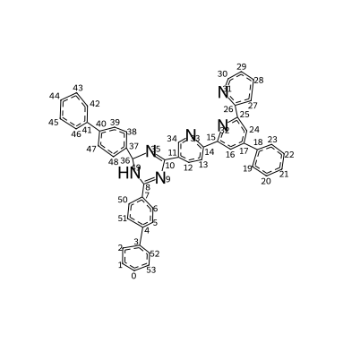 c1ccc(-c2ccc(C3=NC(c4ccc(-c5cc(-c6ccccc6)cc(-c6ccccn6)n5)nc4)=NC(c4ccc(-c5ccccc5)cc4)N3)cc2)cc1